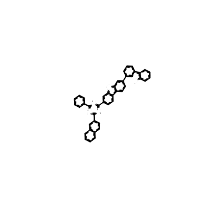 c1ccc(-c2nc(-c3ccc4ccccc4c3)nc(-c3ccc4c(c3)oc3cc(-c5cccc6c5oc5ccccc56)ccc34)n2)cc1